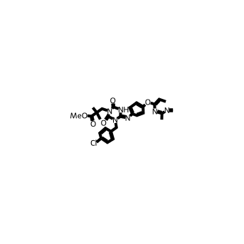 C=N/C(C)=N\C(=C/C)Oc1ccc(/N=c2\[nH]c(=O)n(CC(C)(C)C(=O)OC)c(=O)n2Cc2ccc(Cl)cc2)cc1